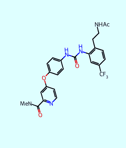 CNC(=O)c1cc(Oc2ccc(NC(=O)Nc3cc(C(F)(F)F)ccc3CCNC(C)=O)cc2)ccn1